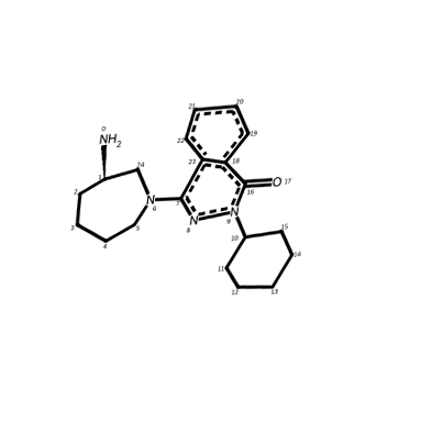 N[C@@H]1CCCCN(c2nn(C3CCCCC3)c(=O)c3ccccc23)C1